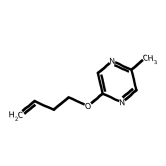 C=CCCOc1cnc(C)cn1